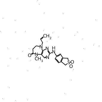 C=CCN1CCC(=O)N(C)c2cnc(Nc3ccc4c(c3)CS(=O)(=O)C4)nc21